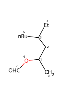 [CH2]C(CC(CC)CCCC)OC=O